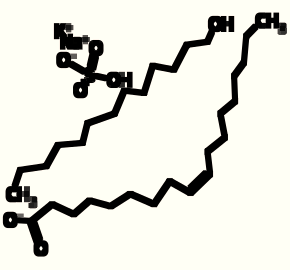 CCCCCCCC/C=C\CCCCCCCC(=O)[O-].CCCCCCCCCCCCCO.O=S(=O)([O-])O.[K+].[Na+]